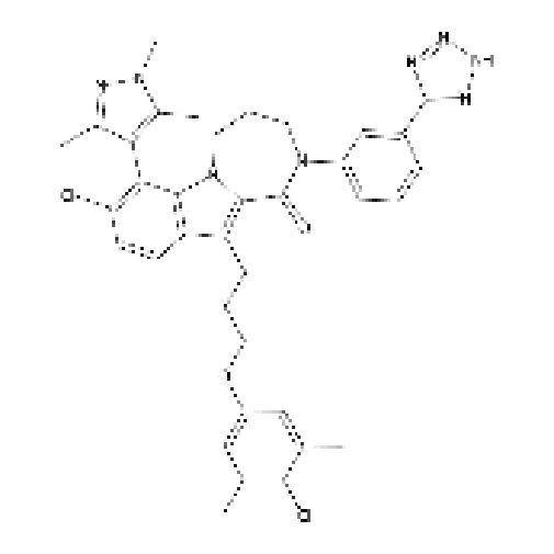 Cc1cc(OCCCc2c3n(c4c(-c5c(C)nn(C)c5C)c(Cl)ccc24)CCCN(c2cccc(-c4nn[nH]n4)c2)C3=O)cc(C)c1Cl